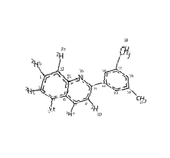 [2H]c1c([2H])c(CC)c2c([2H])c([2H])c(-c3cc(C)cc(C)c3)nc2c1[2H]